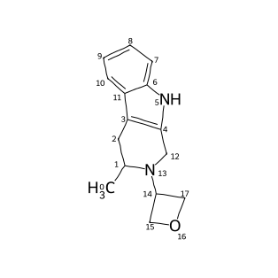 CC1Cc2c([nH]c3ccccc23)CN1C1COC1